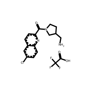 NCC1CCN(C(=O)c2ccc3cc(Cl)ccc3n2)C1.O=C(O)C(F)(F)F